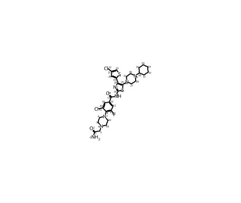 NC(=O)CN1CCN(c2c(F)cc(C(=O)Nc3nc(-c4cc(Cl)cs4)c(N4CCN(C5CCCCC5)CC4)s3)cc2Cl)CC1